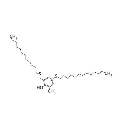 CCCCCCCCCCCCCSc1cc(C)c(O)c(CSCCCCCCCCCCCC)c1